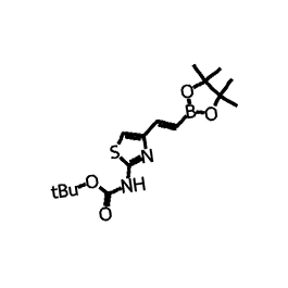 CC(C)(C)OC(=O)Nc1nc(C=CB2OC(C)(C)C(C)(C)O2)cs1